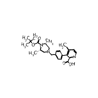 Cc1ccnc(C(=O)O)c1-c1ccc(CN2C[C@@H](C)N(C(=O)OC(C)(C)C)[C@@H](C)C2)cc1